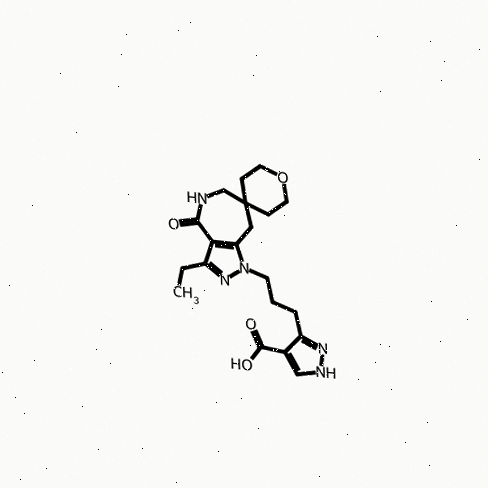 CCc1nn(CCCc2n[nH]cc2C(=O)O)c2c1C(=O)NCC1(CCOCC1)C2